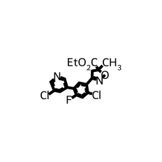 CCOC(=O)C1(C)CC(c2cc(-c3cncc(Cl)c3)c(F)cc2Cl)=NO1